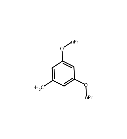 [CH2]c1cc(OCCC)cc(OCCC)c1